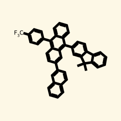 CC1(C)c2ccccc2-c2ccc(-c3c4ccccc4c(-c4ccc(C(F)(F)F)cc4)c4ccc(-c5ccc6ccccc6c5)cc34)cc21